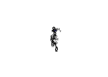 C=NN(/C(=N\N)N1CCN(C(=O)C(=O)c2c[nH]c3c(-c4cc(C(=O)NCCCN5CCN(C)CC5)[nH]n4)ncc(F)c23)CC1)c1ccccc1